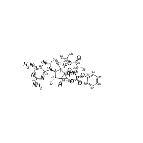 C#C[C@]1(F)[C@H](n2cnc3c(N)nc(N)nc32)[C@@H](C)[C@@H]2C(O[P@@](=O)(N[C@@H](C)C(=O)OC(C)C)Oc3ccccc3)[C@@]21O